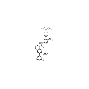 CN(C)C1CCN(c2cc(NC(=O)N3CCCc4cc(-c5cncc(F)c5)c(C=O)nc43)ncc2N)CC1